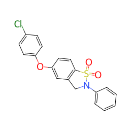 O=S1(=O)c2ccc(Oc3ccc(Cl)cc3)cc2CN1c1ccccc1